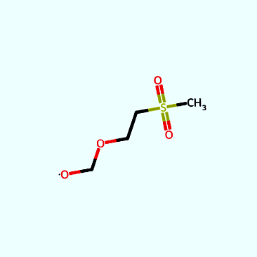 CS(=O)(=O)CCOC[O]